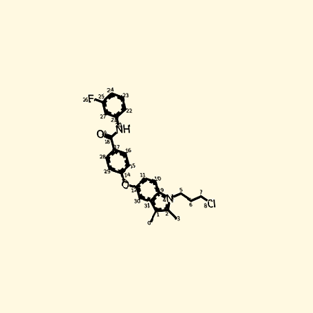 Cc1c(C)n(CCCCl)c2ccc(Oc3ccc(C(=O)Nc4cccc(F)c4)cc3)cc12